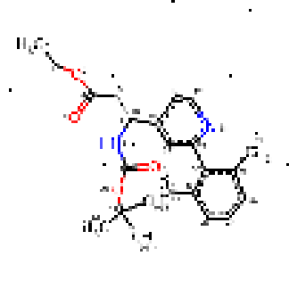 CCOC(=O)C[C@@H](NC(=O)OC(C)(C)C)c1ccnc(-c2c(C)cccc2C)c1